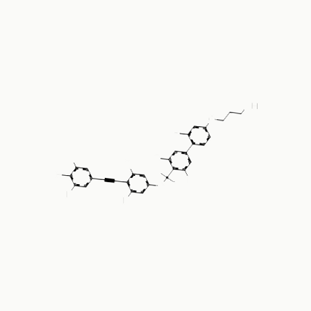 CCCCOc1ccc(-c2cc(F)c(C(F)(F)Oc3cc(F)c(C#Cc4cc(F)c(F)c(F)c4)c(F)c3)c(F)c2)c(F)c1